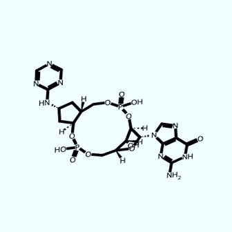 Nc1nc2c(ncn2[C@@H]2O[C@@H]3COP(=O)(O)O[C@H]4C[C@H](Nc5ncncn5)C[C@@H]4COP(=O)(O)O[C@@H]2[C@@H]3O)c(=O)[nH]1